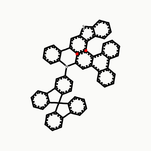 c1ccc(N(c2ccc3c(c2)-c2ccccc2C32c3ccccc3-c3ccccc32)c2ccc3c4ccccc4c4ccccc4c3c2)c(-c2ccc3c(c2)sc2ccccc23)c1